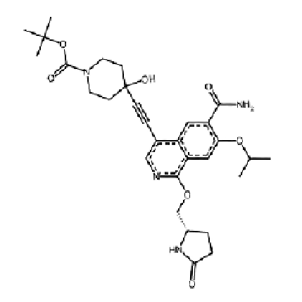 CC(C)Oc1cc2c(OC[C@@H]3CCC(=O)N3)ncc(C#CC3(O)CCN(C(=O)OC(C)(C)C)CC3)c2cc1C(N)=O